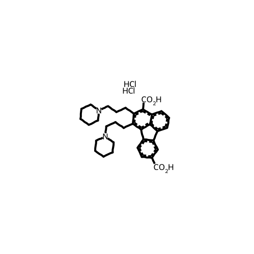 Cl.Cl.O=C(O)c1ccc2c(c1)-c1cccc3c(C(=O)O)c(CCCN4CCCCC4)c(CCCN4CCCCC4)c-2c13